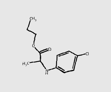 CCCOC(=O)C(C)Nc1ccc(Cl)cc1